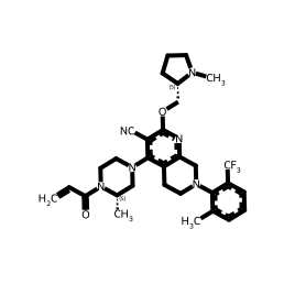 C=CC(=O)N1CCN(c2c(C#N)c(OC[C@@H]3CCCN3C)nc3c2CCN(c2c(C)cccc2C(F)(F)F)C3)C[C@@H]1C